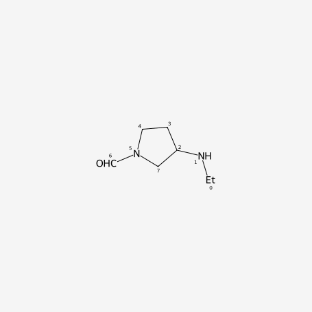 CCNC1CCN(C=O)C1